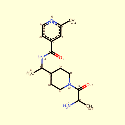 Cc1cc(C(=O)NC(C)C2CCN(C(=O)C(C)N)CC2)ccn1